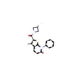 O=C(c1sc2c(ccc(=O)n2-c2ccccc2)c1Br)N1CC(O)C1